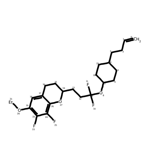 C=CCCC1CCC(OC(F)(F)CCC2CCc3cc(OCC)c(F)c(F)c3O2)CC1